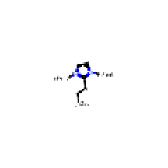 CCCCCCCCCCCCc1n(CCCCC)cc[n+]1CCCCC